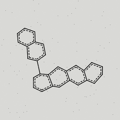 c1ccc2cc(-c3cccc4cc5cc6ccccc6cc5cc34)ccc2c1